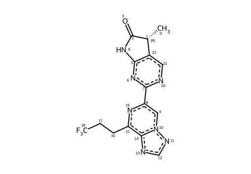 C[C@H]1C(=O)Nc2nc(-c3cn4ncnc4c(CCC(F)(F)F)n3)ncc21